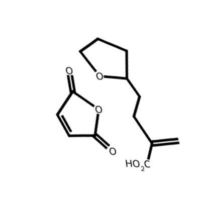 C=C(CCC1CCCO1)C(=O)O.O=C1C=CC(=O)O1